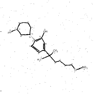 CC(C)(CCCCO[N+](=O)[O-])c1ccc([C@H]2CCC[C@H](O)C2)c(O)c1